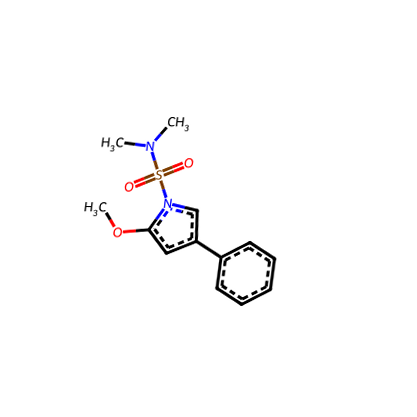 COc1cc(-c2ccccc2)cn1S(=O)(=O)N(C)C